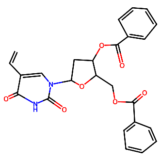 C=Cc1cn(C2CC(OC(=O)c3ccccc3)C(COC(=O)c3ccccc3)O2)c(=O)[nH]c1=O